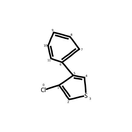 Clc1cscc1-c1ccccc1